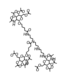 CC(=O)NC1C(OC(C)=O)[C@@H](OC(C)=O)C(COC(C)=O)O[C@H]1OCCCCC(=O)NCCCN(CCCNCCCNO[C@@H]1OC(COC(C)=O)[C@H](OC(C)=O)C(OC(C)=O)[C@@H]1NC(C)=O)C(=O)CCCCO[C@@H]1OC(COC(C)=O)[C@H](OC(C)=O)C(OC(C)=O)C1NC(C)=O